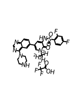 O=C(O)C(F)(F)F.[2H]C([2H])([2H])n1cc(-c2ccc3ncnc(N4CCNCC4)c3c2)cc(NS(=O)(=O)c2ccc(F)cc2F)c1=O